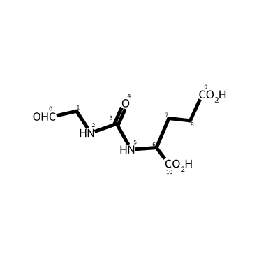 O=CCNC(=O)NC(CCC(=O)O)C(=O)O